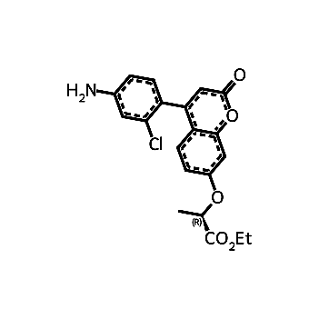 CCOC(=O)[C@@H](C)Oc1ccc2c(-c3ccc(N)cc3Cl)cc(=O)oc2c1